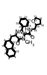 CNC(Cc1ccc2ccccc2c1)C(=O)N(C)[C@H](Cc1ccccc1)C(=O)NCC1CCCO1